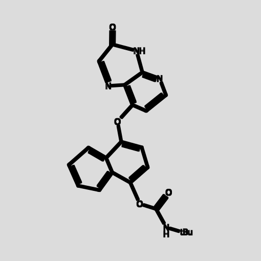 CC(C)(C)NC(=O)Oc1ccc(Oc2ccnc3[nH]c(=O)cnc23)c2ccccc12